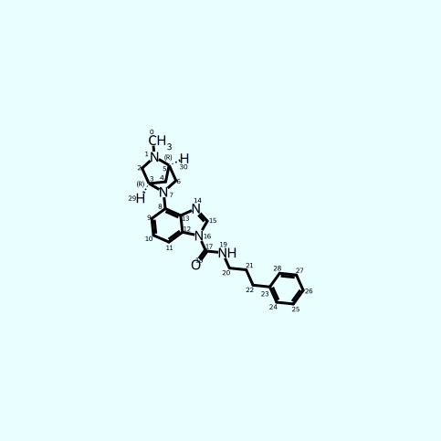 CN1C[C@H]2C[C@@H]1CN2c1cccc2c1ncn2C(=O)NCCCc1ccccc1